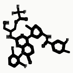 Cc1ccc(C(=O)Nc2ccc(C)c(-c3nc(NC(CO)COC(=O)C(F)(F)F)nc4c3ccc(=O)n4-c3c(F)cccc3F)c2)cc1F